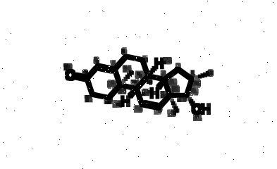 C[C@H]1C[C@H]2[C@@H]3CCC4=CC(=O)CC[C@]4(C)[C@H]3C=C[C@]2(C)[C@H]1O